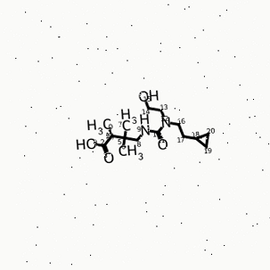 C[C@H](C(=O)O)C(C)(C)CNC(=O)N(CCO)CCC1CC1